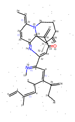 C=C/C(C)=C\C(C)/C(=C\C(=N/C)C1=CC(=O)C(=C)CC(/C=C\C(=C/C)N2CCCC(=C)[C@H](C)C2)=N1)C(=C)CC